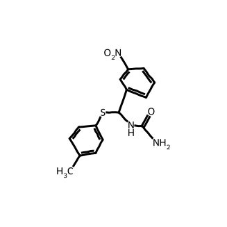 Cc1ccc(SC(NC(N)=O)c2cccc([N+](=O)[O-])c2)cc1